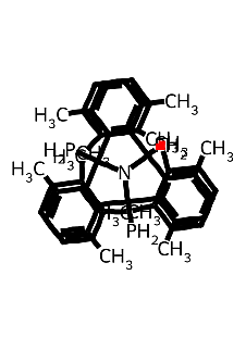 Cc1cccc(C)c1C(P)(c1c(C)cccc1C)N(C(P)(c1c(C)cccc1C)c1c(C)cccc1C)C(P)(c1c(C)cccc1C)c1c(C)cccc1C